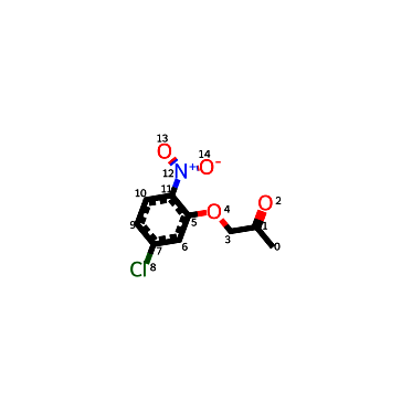 CC(=O)COc1cc(Cl)ccc1[N+](=O)[O-]